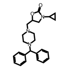 O=C1OC(CN2CCN(C(c3ccccc3)c3ccccc3)CC2)CN1C1CC1